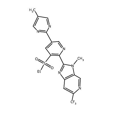 CCS(=O)(=O)c1cc(-c2ncc(C)cn2)cnc1-c1nc2cc(C(F)(F)F)ncc2n1C